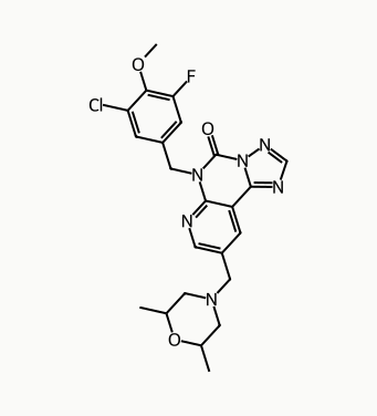 COc1c(F)cc(Cn2c(=O)n3ncnc3c3cc(CN4CC(C)OC(C)C4)cnc32)cc1Cl